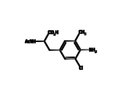 CC(=O)NC(Cc1cc(C)c(N)c(Cl)c1)C(=O)O